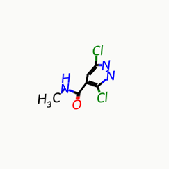 CNC(=O)c1cc(Cl)nnc1Cl